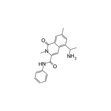 Cc1cc(C(C)N)c2cc(C(=O)Nc3ccccc3)n(C)c(=O)c2c1